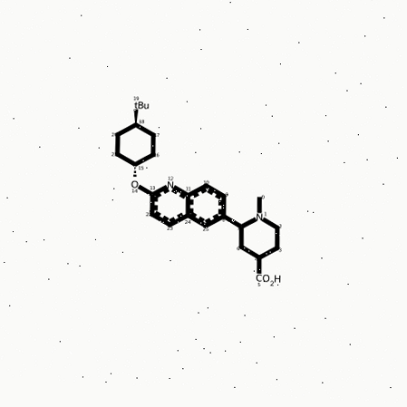 CN1CCC(C(=O)O)CC1c1ccc2nc(O[C@H]3CC[C@H](C(C)(C)C)CC3)ccc2c1